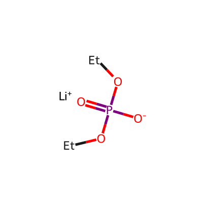 CCOP(=O)([O-])OCC.[Li+]